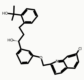 CC(C)(O)c1ccccc1CC[C@@H](O)c1cccc(OCc2ccc3ccc(Cl)cc3n2)c1